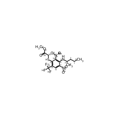 CCCC(C)Nc1c([N+](=O)[O-])cc(C(F)(F)F)c(SCC(=O)OC)c1[N+](=O)[O-]